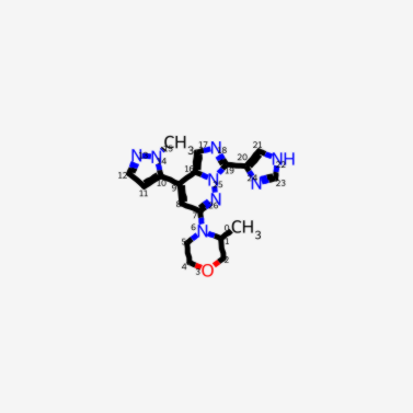 CC1COCCN1c1cc(-c2ccnn2C)c2cnc(-c3c[nH]cn3)n2n1